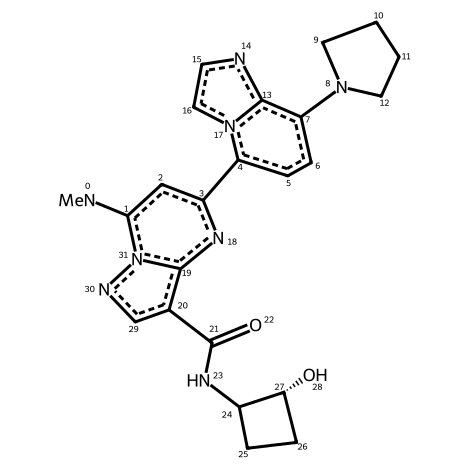 CNc1cc(-c2ccc(N3CCCC3)c3nccn23)nc2c(C(=O)NC3CC[C@H]3O)cnn12